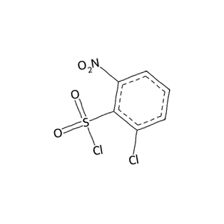 O=[N+]([O-])c1cccc(Cl)c1S(=O)(=O)Cl